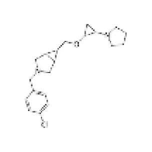 Clc1ccc(CN2CC3C(COC4CC4N4CCCC4)C3C2)cc1